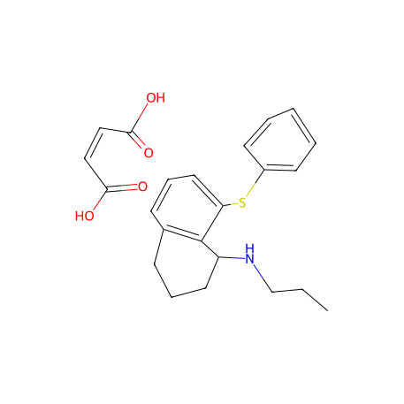 CCCNC1CCCc2cccc(Sc3ccccc3)c21.O=C(O)/C=C\C(=O)O